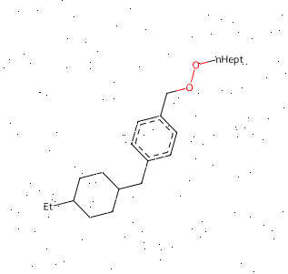 [CH2+][CH-]CCCCCOOCc1ccc(CC2CCC(CC)CC2)cc1